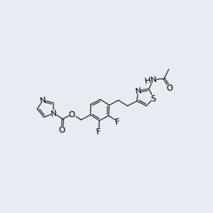 CC(=O)Nc1nc(CCc2ccc(COC(=O)n3ccnc3)c(F)c2F)cs1